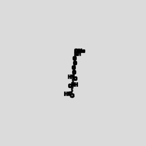 COCNCCOCCOCCOCCOCCNC(=O)CCCNC(=O)CCCc1c[nH]c2ccccc12